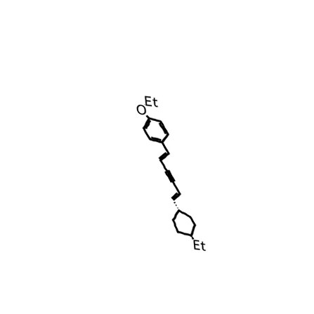 CCOc1ccc(/C=C/C#C/C=C/[C@H]2CC[C@H](CC)CC2)cc1